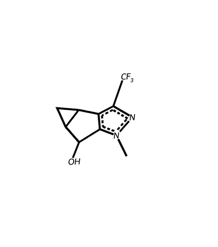 Cn1nc(C(F)(F)F)c2c1C(O)C1CC21